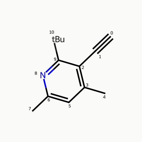 C#Cc1c(C)cc(C)nc1C(C)(C)C